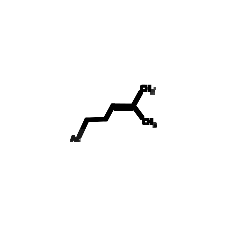 [CH2]C(C)=CCCC(C)=O